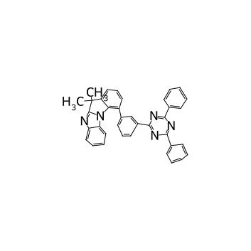 CC1(C)c2cccc(-c3cccc(-c4nc(-c5ccccc5)nc(-c5ccccc5)n4)c3)c2-n2c1nc1ccccc12